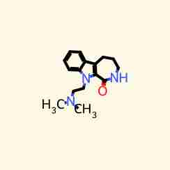 CN(C)CCn1c2c(c3ccccc31)CCCNC2=O